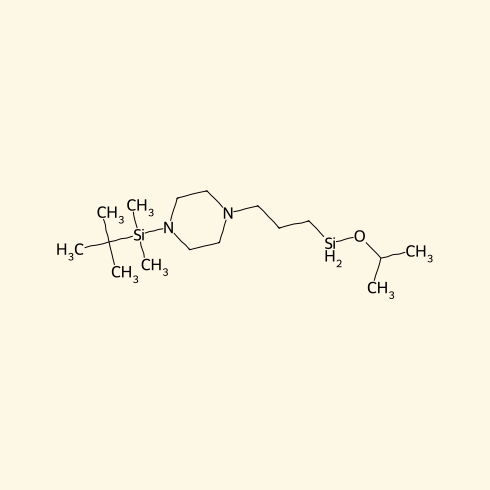 CC(C)O[SiH2]CCCN1CCN([Si](C)(C)C(C)(C)C)CC1